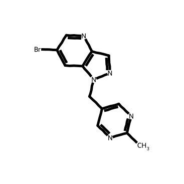 Cc1ncc(Cn2ncc3ncc(Br)cc32)cn1